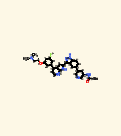 CN(C)CCOc1cc(F)cc(-c2ccnc3[nH]c(-c4n[nH]c5ccc(-c6cncc(NC(=O)C(C)(C)C)c6)cc45)cc23)c1